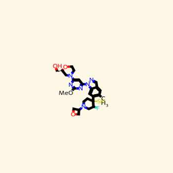 COc1nc(N2CCO[C@@H](CO)C2)cc(-n2ncc3cc(C)c([C@@]4(S)CCN(C5COC5)CC4F)cc32)n1